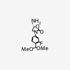 COC(OC)c1ccc(N2C[C@H](CN)OC2=O)cc1F